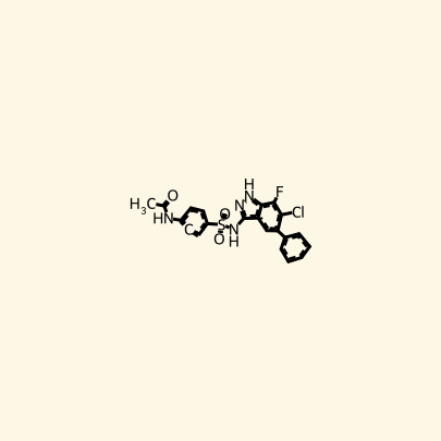 CC(=O)Nc1ccc(S(=O)(=O)Nc2n[nH]c3c(F)c(Cl)c(-c4ccccc4)cc23)cc1